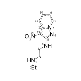 CCNCCNc1nn2ccccc2c1[N+](=O)[O-]